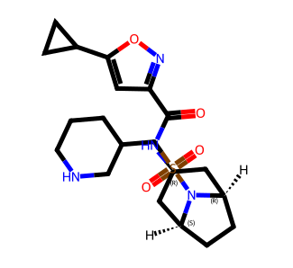 O=C(N[C@H]1C[C@H]2CC[C@@H](C1)N2S(=O)(=O)CC1CCCNC1)c1cc(C2CC2)on1